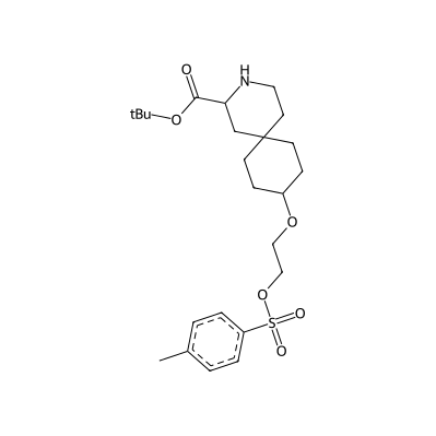 Cc1ccc(S(=O)(=O)OCCOC2CCC3(CCNC(C(=O)OC(C)(C)C)C3)CC2)cc1